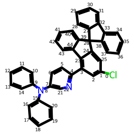 Clc1cc(-c2ccc(N(c3ccccc3)c3ccccc3)cn2)c2c(c1)C1(c3ccccc3-c3ccccc31)c1ccccc1-2